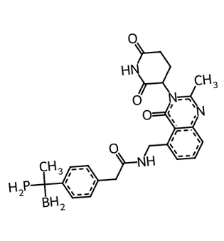 BC(C)(P)c1ccc(CC(=O)NCc2cccc3nc(C)n(C4CCC(=O)NC4=O)c(=O)c23)cc1